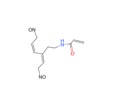 C=CC(=O)NCCC(/C=C\CN=O)=C/CN=O